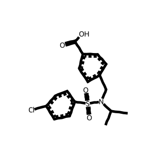 CC(C)N(Cc1ccc(C(=O)O)cc1)S(=O)(=O)c1ccc(Cl)cc1